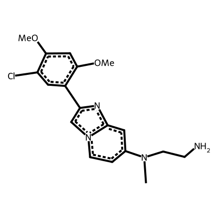 COc1cc(OC)c(-c2cn3ccc(N(C)CCN)cc3n2)cc1Cl